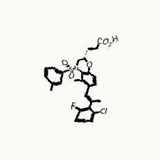 C/C(=C\c1ccc2c(c1C)N(S(=O)(=O)c1cccc(C)c1)C[C@H](CCC(=O)O)O2)c1c(F)cccc1Cl